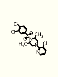 CC1CN(c2ncccc2Cl)CC(C)N1S(=O)(=O)c1ccc(Cl)c(Cl)c1